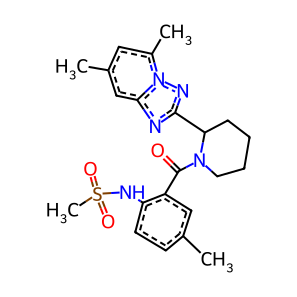 Cc1ccc(NS(C)(=O)=O)c(C(=O)N2CCCCC2c2nc3cc(C)cc(C)n3n2)c1